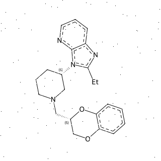 CCc1nc2cccnc2n1[C@H]1CCCN(C[C@H]2COc3ccccc3O2)C1